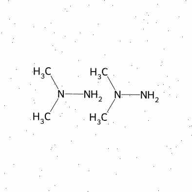 CN(C)N.CN(C)N